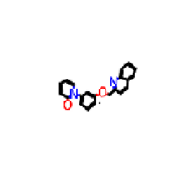 O=c1ccccn1-c1cc[c]c(OCc2ccc3ccccc3n2)c1